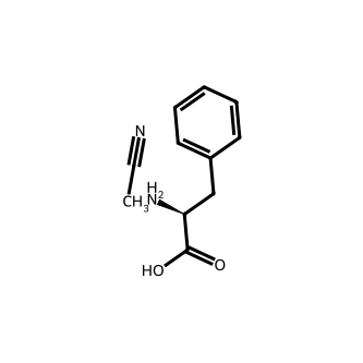 CC#N.N[C@@H](Cc1ccccc1)C(=O)O